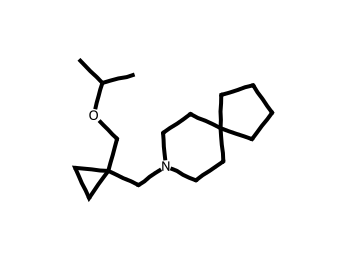 CC(C)OCC1(CN2CCC3(CCCC3)CC2)CC1